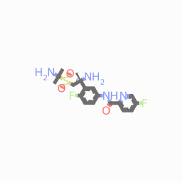 CC(C)(N)S(=O)(=O)C[C@](C)(N)c1cc(NC(=O)c2ccc(F)cn2)ccc1F